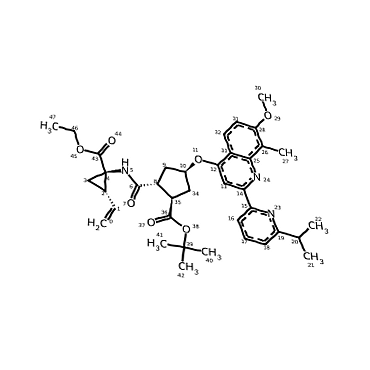 C=C[C@@H]1C[C@]1(NC(=O)[C@@H]1C[C@@H](Oc2cc(-c3cccc(C(C)C)n3)nc3c(C)c(OC)ccc23)C[C@H]1C(=O)OC(C)(C)C)C(=O)OCC